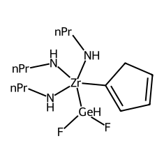 CCC[NH][Zr]([NH]CCC)([NH]CCC)([C]1=CC=CC1)[GeH]([F])[F]